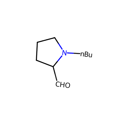 CCCCN1CCCC1C=O